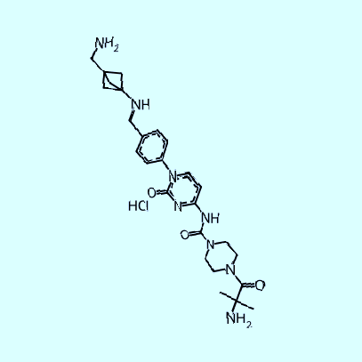 CC(C)(N)C(=O)N1CCN(C(=O)Nc2ccn(-c3ccc(CNC45CC(CN)(C4)C5)cc3)c(=O)n2)CC1.Cl